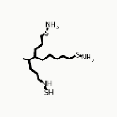 CC(CCCNS)C(CCCCCSN)CCCSN